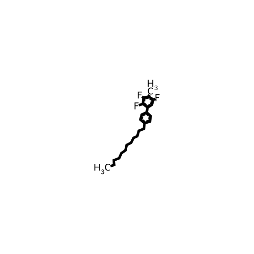 CCCCCCCCCCCCc1ccc(-c2cc(F)c(C)c(F)c2F)cc1